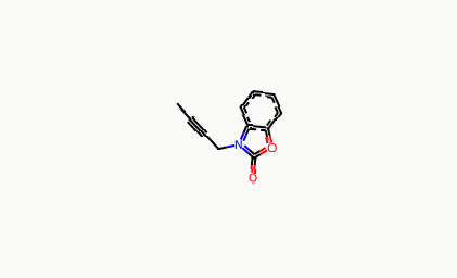 CC#CCn1c(=O)oc2ccccc21